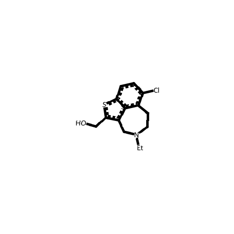 CCN1CCc2c(Cl)ccc3sc(CO)c(c23)C1